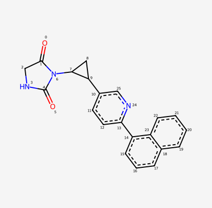 O=C1CNC(=O)N1C1CC1c1ccc(-c2cccc3ccccc23)nc1